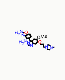 COc1cc2c(-c3ccc4oc(N)nc4c3N)ncnc2cc1OCCCN1CCN(C)CC1